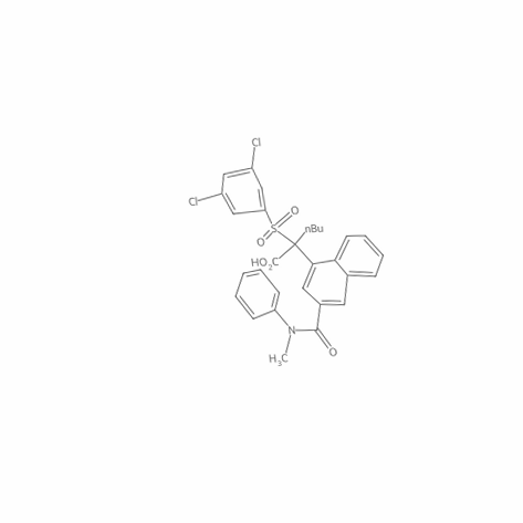 CCCCC(C(=O)O)(c1cc(C(=O)N(C)c2ccccc2)cc2ccccc12)S(=O)(=O)c1cc(Cl)cc(Cl)c1